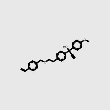 C#CC(O)(c1ccc(CCOCc2ccc(C=C)cc2)cc1)c1ccc(OC)cc1